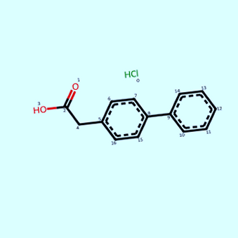 Cl.O=C(O)Cc1ccc(-c2ccccc2)cc1